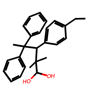 CCc1ccc(C(C(C)(c2ccccc2)c2ccccc2)C(C)(C)C(O)O)cc1